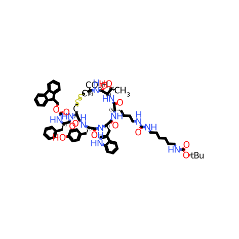 C[C@@H](O)[C@@H]1NC(=O)[C@H](CCCCNC(=O)NCCCCCCNC(=O)OC(C)(C)C)NC(=O)[C@@H](Cc2c[nH]c3ccccc23)NC(=O)[C@H](Cc2ccc(O)cc2)NC(=O)[C@@H](NC(=O)[C@@H](Cc2ccccc2)NC(=O)OCC2c3ccccc3-c3ccccc32)CSSC[C@@H](C(=O)O)NC1=O